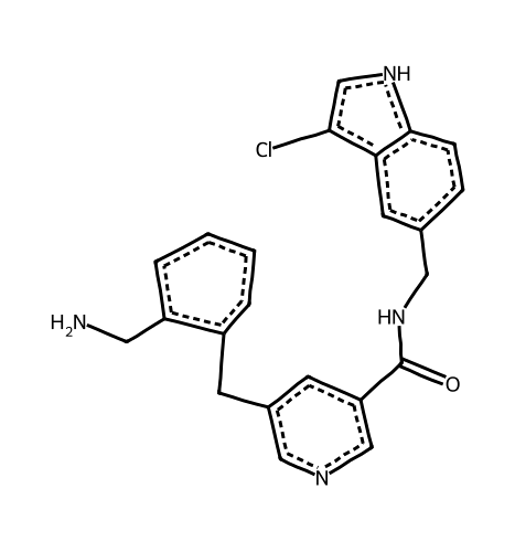 NCc1ccccc1Cc1cncc(C(=O)NCc2ccc3[nH]cc(Cl)c3c2)c1